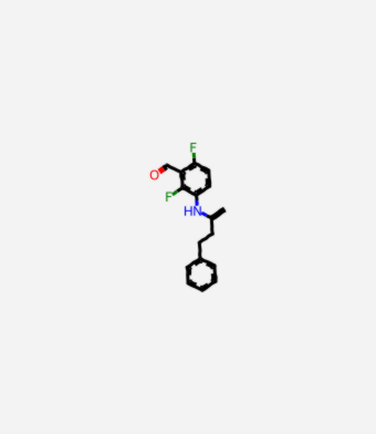 C=C(CCc1ccccc1)Nc1ccc(F)c(C=O)c1F